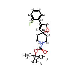 CC(C)(C)OC(=O)N1CCC2(C=C(c3ccccc3F)CO2)CC1